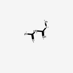 CC(C)SC(=N)NC(=O)C(C)C